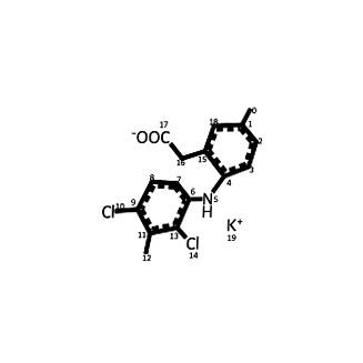 Cc1ccc(Nc2ccc(Cl)c(C)c2Cl)c(CC(=O)[O-])c1.[K+]